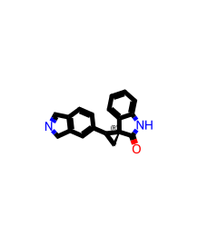 O=C1Nc2ccccc2[C@]12CC2c1ccc2c(c1)CN=C2